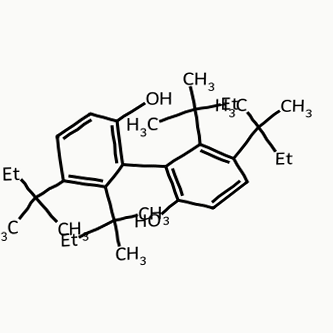 CCC(C)(C)c1ccc(O)c(-c2c(O)ccc(C(C)(C)CC)c2C(C)(C)CC)c1C(C)(C)CC